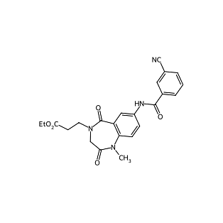 CCOC(=O)CCN1CC(=O)N(C)c2ccc(NC(=O)c3cccc(C#N)c3)cc2C1=O